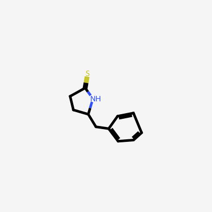 S=C1CCC(Cc2ccccc2)N1